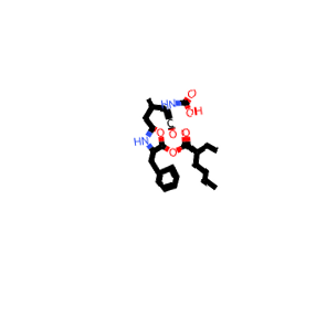 CCCCC(CC)C(=O)OC1OC(CC(C)C(=C=O)NC(=O)O)NC1Cc1ccccc1